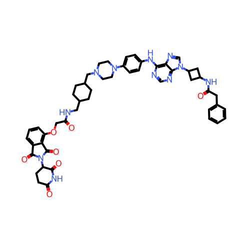 O=C(COc1cccc2c1C(=O)N(C1CCC(=O)NC1=O)C2=O)NCC1CCC(CN2CCN(c3ccc(Nc4ncnc5c4ncn5C4CC(NC(=O)Cc5ccccc5)C4)cc3)CC2)CC1